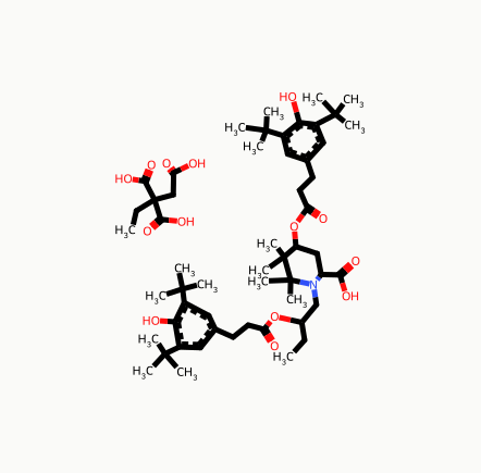 CCC(CC(=O)O)(C(=O)O)C(=O)O.CCC(CN1C(C(=O)O)CC(OC(=O)CCc2cc(C(C)(C)C)c(O)c(C(C)(C)C)c2)C(C)(C)C1(C)C)OC(=O)CCc1cc(C(C)(C)C)c(O)c(C(C)(C)C)c1